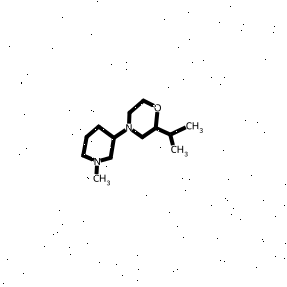 CC(C)C1CN(C2CCCN(C)C2)CCO1